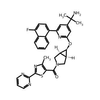 Cc1nc(-c2ncccn2)sc1C(=O)N1C[C@@H]2[C@H](C1)[C@@H]2Oc1cc(C(C)(C)N)cc(-c2ccc(F)c3ccccc23)n1